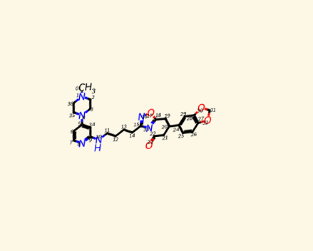 CN1CCN(c2ccnc(NCCCCc3noc(CC(CC=O)c4ccc5c(c4)OCO5)n3)c2)CC1